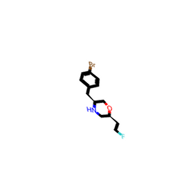 FCC[C@H]1CN[C@@H](Cc2ccc(Br)cc2)CO1